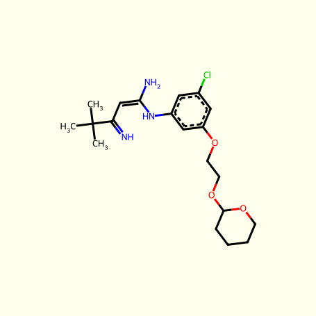 CC(C)(C)C(=N)/C=C(/N)Nc1cc(Cl)cc(OCCOC2CCCCO2)c1